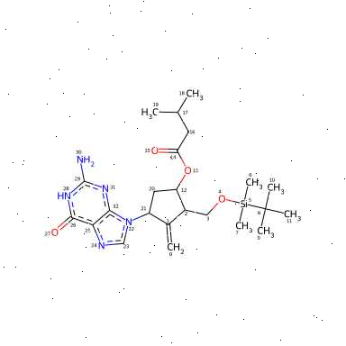 C=C1C(CO[Si](C)(C)C(C)(C)C)C(OC(=O)CC(C)C)CC1n1cnc2c(=O)[nH]c(N)nc21